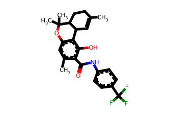 CC1=CC2c3c(cc(C)c(C(=O)Nc4ccc(C(F)(F)F)cc4)c3O)OC(C)(C)C2CC1